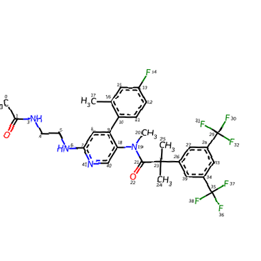 CC(=O)NCCNc1cc(-c2ccc(F)cc2C)c(N(C)C(=O)C(C)(C)c2cc(C(F)(F)F)cc(C(F)(F)F)c2)cn1